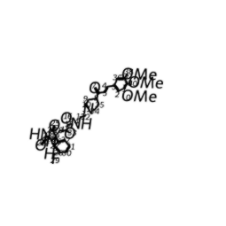 COc1cc(C=CC(=O)C2CCN(CCNC(=O)[C@@H]3C[C@]4(NC(=O)NC4=O)c4cc(F)ccc4O3)CC2)cc(OC)c1OC